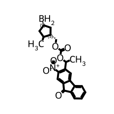 B[C@H]1CC(C)[C@@H](COC(=O)OC(C)c2cc3c(cc2[N+](=O)[O-])C(=O)c2ccccc2-3)C1